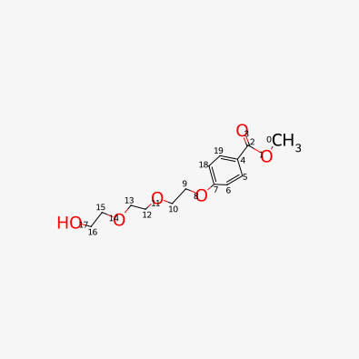 COC(=O)c1ccc(OCCOCCOCCO)cc1